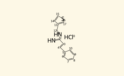 Cl.N=C(/C=C/c1ccccc1)NCc1ccsc1